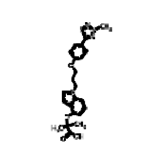 Cn1nnc(-c2ccc(OCCCn3ccc4c(OC(C)(C)C(=O)O)cccc43)cc2)n1